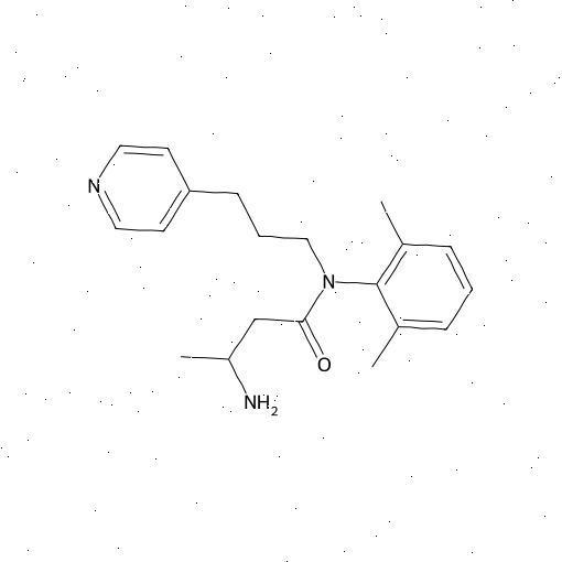 Cc1cccc(C)c1N(CCCc1ccncc1)C(=O)CC(C)N